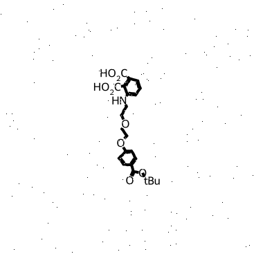 CC(C)(C)OC(=O)c1ccc(OCCOCCNc2cccc(C(=O)O)c2C(=O)O)cc1